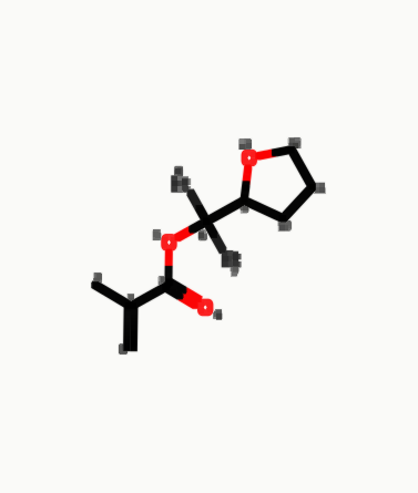 C=C(C)C(=O)OC(CC)(CC)C1CCCO1